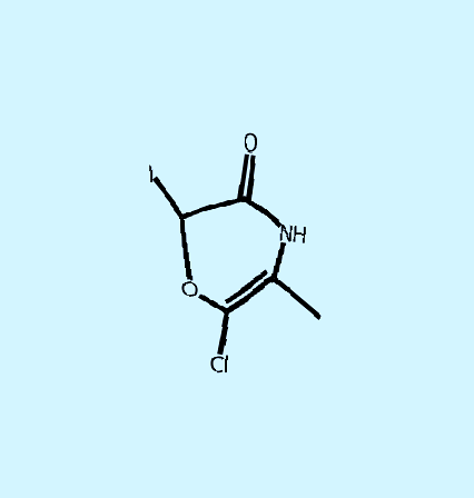 CC1=C(Cl)OC(I)C(=O)N1